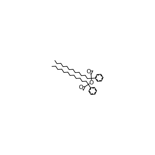 CCCCCCCCCCCCC(OC(CCCCCCCCCCCC)(c1ccccc1)C1CO1)(c1ccccc1)C1CO1